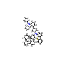 c1ccc(-n2c3ccccc3c3c(-c4ccc(N(c5ccc([Si](c6ccccc6)(c6ccccc6)c6ccccc6)cc5)c5cccc6c5sc5ccccc56)cc4)cccc32)cc1